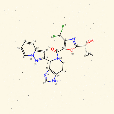 C[C@@H](O)c1nc(C(F)F)c(C(=O)N2CCc3[nH]cnc3C2c2cc3ccccn3n2)o1